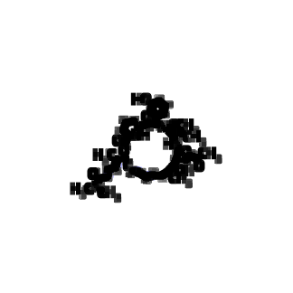 CC(=O)CC[C@H]1C(=O)N[C@@H](C(C)C)C(=O)NC(c2cccc(O)c2)C(=O)N2CCCC(N2)C(=O)O[C@H](/C(C)=C/C=C/C(=O)N(C)C)C/C=C/C=C/C[C@H](C)[C@H]1O